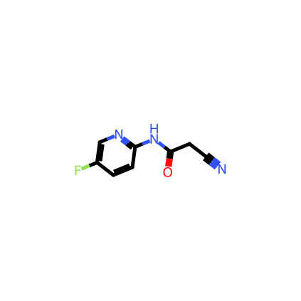 N#CCC(=O)Nc1ccc(F)cn1